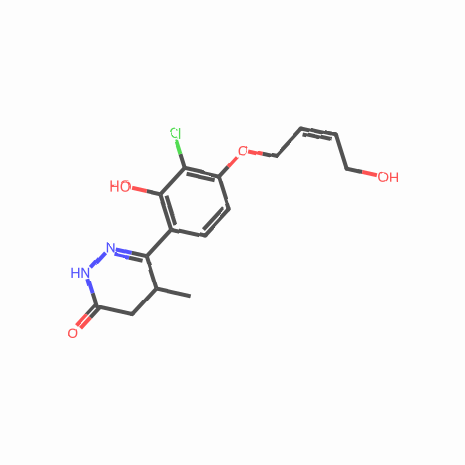 CC1CC(=O)NN=C1c1ccc(OC/C=C\CO)c(Cl)c1O